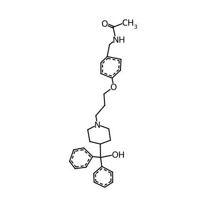 CC(=O)NCc1ccc(OCCCN2CCC(C(O)(c3ccccc3)c3ccccc3)CC2)cc1